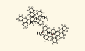 Cc1cc(-c2ccc(N(c3ccc(-c4cc5ccccc5c5ccccc45)cc3)c3c(C)cccc3-c3cccc4ccccc34)c(C)c2)ccc1N(c1ccc(-c2cc3ccccc3c3ccccc23)cc1)c1c(C)cccc1-c1cccc2ccccc12